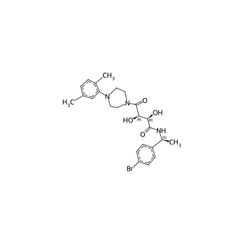 Cc1ccc(C)c(N2CCN(C(=O)[C@H](O)[C@@H](O)C(=O)N[C@@H](C)c3ccc(Br)cc3)CC2)c1